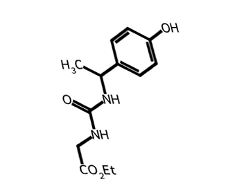 CCOC(=O)CNC(=O)NC(C)c1ccc(O)cc1